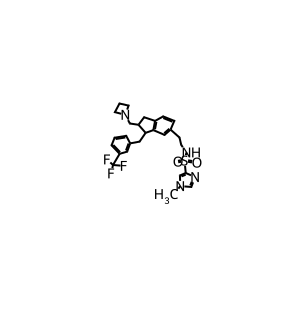 Cn1cnc(S(=O)(=O)NCCc2ccc3c(c2)C(Cc2cccc(C(F)(F)F)c2)C(CN2CCC2)C3)c1